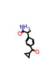 CC(C(N)=O)c1ccc(C(=O)C2CC2)cc1